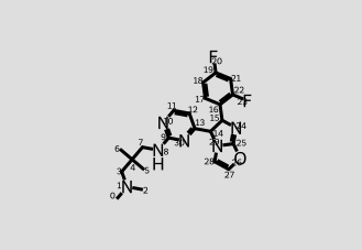 CN(C)CC(C)(C)CNc1nccc(C2C(c3ccc(F)cc3F)N=C3OC=CN32)n1